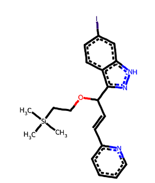 C[Si](C)(C)CCOC(/C=C/c1ccccn1)c1n[nH]c2cc(I)ccc12